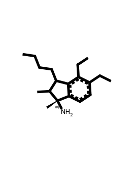 CCCCC1c2c(ccc(CC)c2CC)[C@](C)(N)C1C